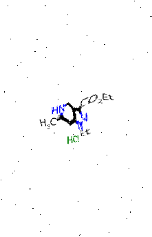 CCOC(=O)c1nn(CC)c2c1CN[C@H](C)C2.Cl